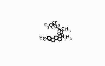 CCOc1ccc2c(c1)CCC1C2CC[C@@]2(C)C1CC[C@@H]2N(C)C(=O)CN(C)CCCOC(C(F)(F)F)(C(F)(F)F)C(F)(F)F